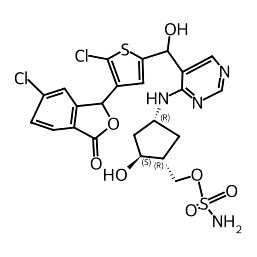 NS(=O)(=O)OC[C@H]1C[C@@H](Nc2ncncc2C(O)c2cc(C3OC(=O)c4ccc(Cl)cc43)c(Cl)s2)C[C@@H]1O